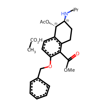 CC(=O)O.COC(=O)c1c(OCc2ccccc2)ccc2c1CC[C@H](NC(C)C)[C@H]2OC(C)=O